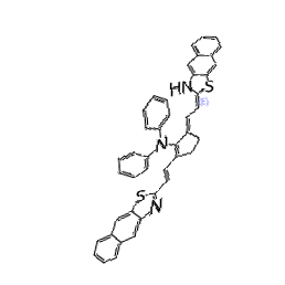 C(=Cc1nc2cc3ccccc3cc2s1)C1=C(N(c2ccccc2)c2ccccc2)C(=C/C=C2\Nc3cc4ccccc4cc3S2)CC1